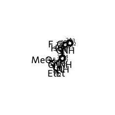 CCC1(CC)CC(=O)N([C@H](CCOC)c2cccc(C(=O)N[C@@H]3c4ccccc4CC3(O)C(F)(F)F)c2)C(=N)N1